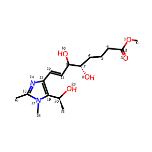 COC(=O)CCC[C@H](O)C(O)/C=C/c1nc(C)n(C)c1[C@H](C)O